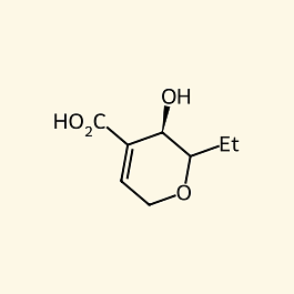 CCC1OCC=C(C(=O)O)[C@H]1O